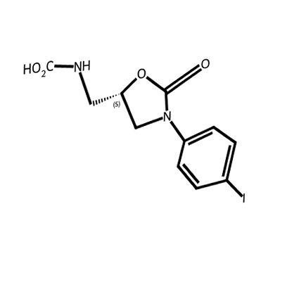 O=C(O)NC[C@H]1CN(c2ccc(I)cc2)C(=O)O1